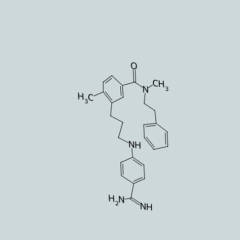 Cc1ccc(C(=O)N(C)CCc2ccccc2)cc1CCCNc1ccc(C(=N)N)cc1